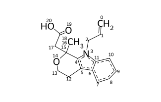 C=CCn1c2c(c3ccccc31)CCOC2(C)CC(=O)O